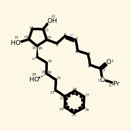 CC(C)OC(=O)CCC/C=C\CC1C(O)CC(O)[C@@H]1CC[C@@H](O)CCc1ccccc1